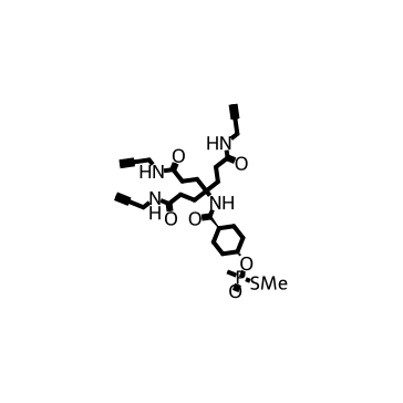 C#CCNC(=O)CCC(CCC(=O)NCC#C)(CCC(=O)NCC#C)NC(=O)[C@H]1CC[C@H](OP(C)(=O)SC)CC1